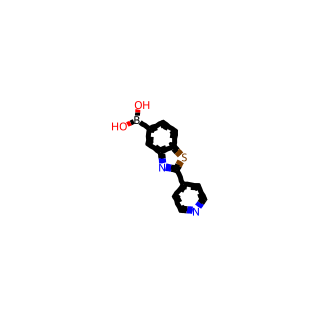 OB(O)c1ccc2sc(-c3ccncc3)nc2c1